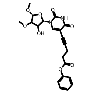 COC1C(O)[C@H](n2cc(C#CCCC(=O)Oc3ccccc3)c(=O)[nH]c2=O)O[C@@H]1OC